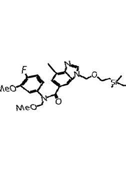 COCN(C(=O)c1cc(C)c2ncn(COCC[Si](C)(C)C)c2c1)c1ccc(F)c(OC)c1